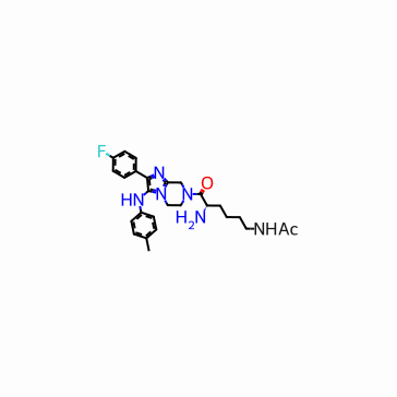 CC(=O)NCCCC[C@H](N)C(=O)N1CCn2c(nc(-c3ccc(F)cc3)c2Nc2ccc(C)cc2)C1